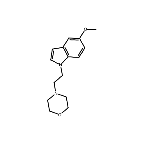 COc1ccc2c(ccn2CCN2CCOCC2)c1